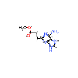 COC(=O)CCc1nc(N)c2nc[nH]c2n1